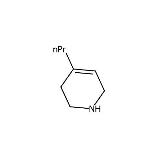 CCCC1=CCNCC1